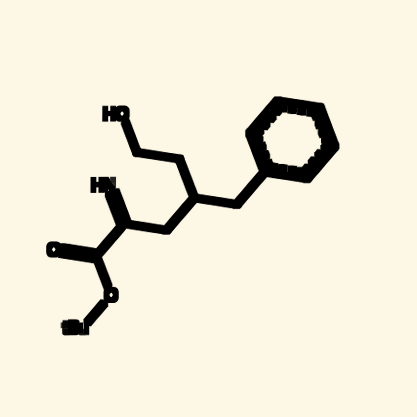 CC(C)(C)OC(=O)C(=N)CC(CCO)Cc1ccccc1